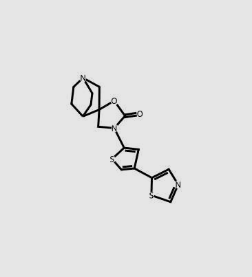 O=C1OC2(CN3CCC2CC3)CN1c1cc(-c2cncs2)cs1